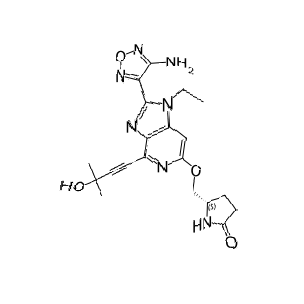 CCn1c(-c2nonc2N)nc2c(C#CC(C)(C)O)nc(OC[C@@H]3CCC(=O)N3)cc21